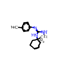 CCNC(=Nc1ccc(C#N)cc1)NC1(C)CCCCC1